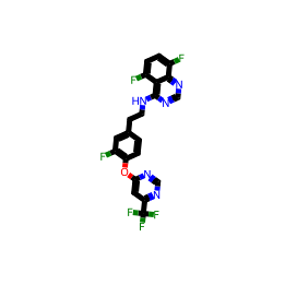 Fc1cc(CCNc2ncnc3c(F)ccc(F)c23)ccc1Oc1cc(C(F)(F)F)ncn1